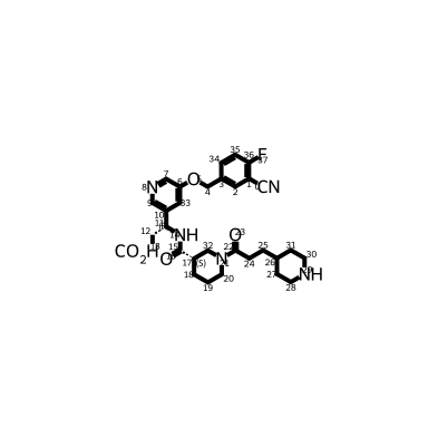 N#Cc1cc(COc2cncc([C@@H](CC(=O)O)NC(=O)[C@H]3CCCN(C(=O)CCC4CCNCC4)C3)c2)ccc1F